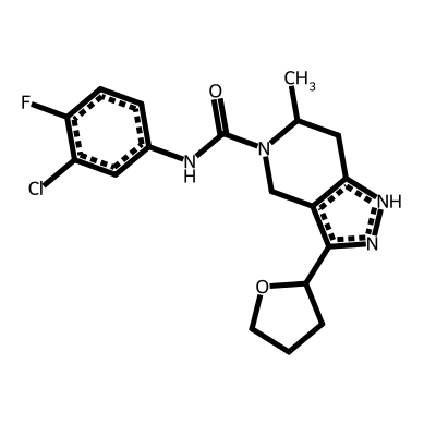 CC1Cc2[nH]nc(C3CCCO3)c2CN1C(=O)Nc1ccc(F)c(Cl)c1